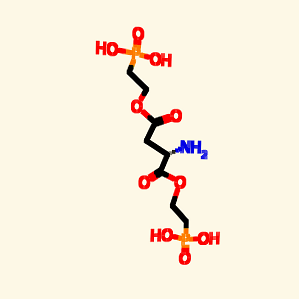 N[C@@H](CC(=O)OCCP(=O)(O)O)C(=O)OCCP(=O)(O)O